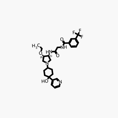 CCO[C@@H]1CN(C2CCC(O)(c3cccnc3)CC2)C[C@@H]1NC(=O)CNC(=O)c1cccc(C(F)(F)F)c1